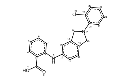 O=C(O)c1ccccc1Nc1ccc2c(c1)CN(c1ccccc1Cl)C2